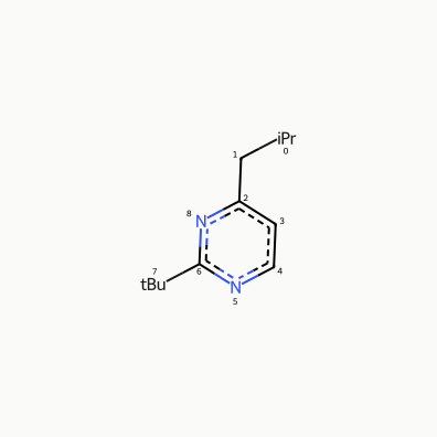 CC(C)Cc1ccnc(C(C)(C)C)n1